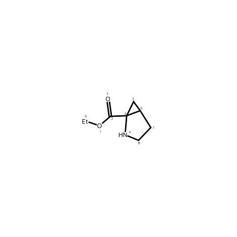 CCOC(=O)C12CC1CCN2